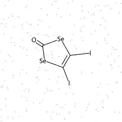 O=c1[se]c(I)c(I)[se]1